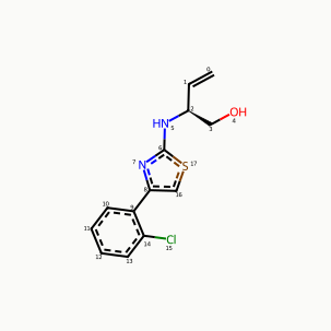 C=C[C@@H](CO)Nc1nc(-c2ccccc2Cl)cs1